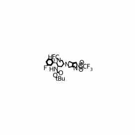 CN1C[C@H](N2Cc3cn(S(=O)(=O)C(F)(F)F)nc3C2)C[C@H](NC(=O)OC(C)(C)C)[C@H]1c1cc(F)ccc1F